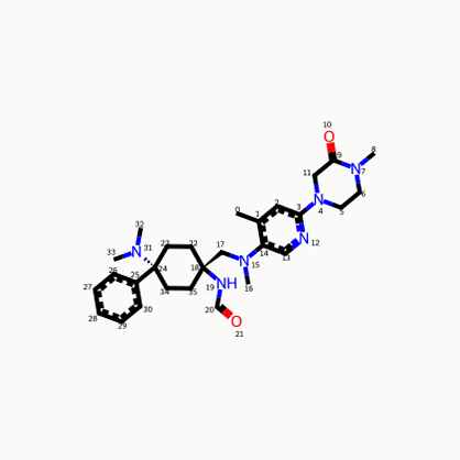 Cc1cc(N2CCN(C)C(=O)C2)ncc1N(C)C[C@]1(NC=O)CC[C@@](c2ccccc2)(N(C)C)CC1